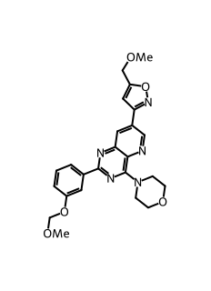 COCOc1cccc(-c2nc(N3CCOCC3)c3ncc(-c4cc(COC)on4)cc3n2)c1